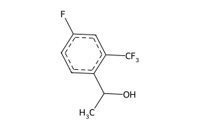 CC(O)c1ccc(F)cc1C(F)(F)F